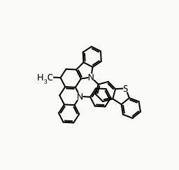 CC1Cc2c(n(-c3ccc4c(c3)sc3ccccc34)c3ccccc23)C2=C1Cc1ccccc1N2c1ccccc1